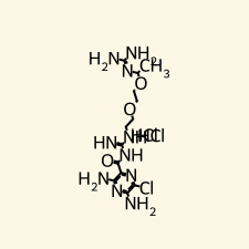 CC(N=C(N)N)OCCOCCNC(=N)NC(=O)c1nc(Cl)c(N)nc1N.Cl.Cl